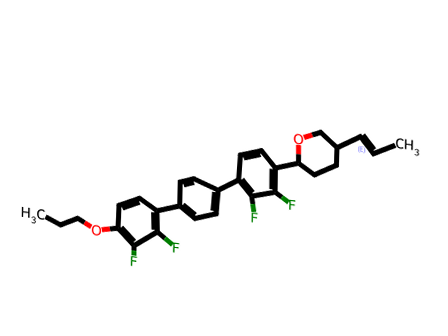 C/C=C/C1CCC(c2ccc(-c3ccc(-c4ccc(OCCC)c(F)c4F)cc3)c(F)c2F)OC1